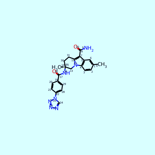 Cc1ccc2c(c1)c(C(N)=O)c1n2C[C@](C)(NC(=O)c2ccc(-n3cnnn3)cc2)CC1